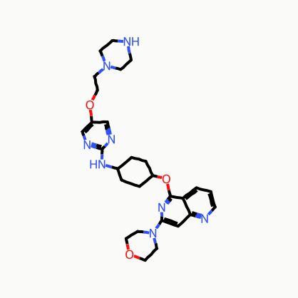 c1cnc2cc(N3CCOCC3)nc(OC3CCC(Nc4ncc(OCCN5CCNCC5)cn4)CC3)c2c1